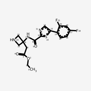 CCOC(=O)CC1(NC(=O)c2ncc(-c3ccc(F)cc3F)s2)CNC1